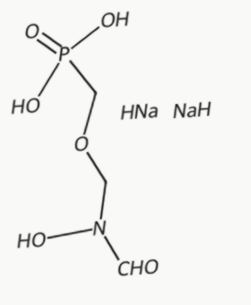 O=CN(O)COCP(=O)(O)O.[NaH].[NaH]